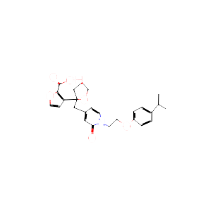 CC(C)c1ccc(OCCn2ccc(CC3(c4ccoc4C(=O)O)CCCO3)cc2=O)cc1